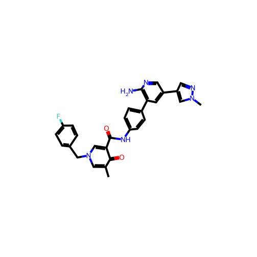 Cc1cn(Cc2ccc(F)cc2)cc(C(=O)Nc2ccc(-c3cc(-c4cnn(C)c4)cnc3N)cc2)c1=O